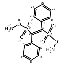 NOS(=O)(=O)C(=C(c1ccccc1)S(=O)(=O)ON)c1ccccc1